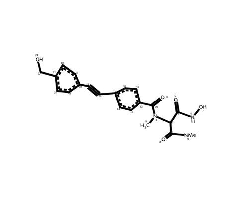 CNC(=O)C(C(=O)NO)N(C)C(=O)c1ccc(C#Cc2ccc(CO)cc2)cc1